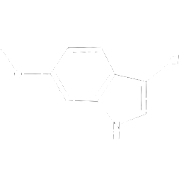 COc1ccc2c(Cl)c[nH]c2c1